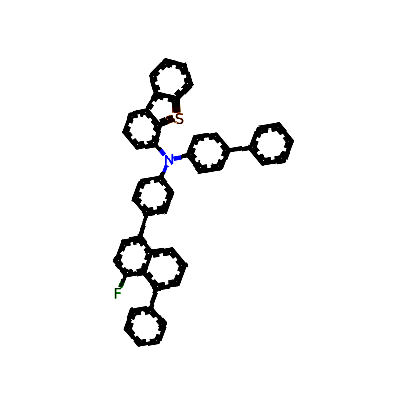 Fc1ccc(-c2ccc(N(c3ccc(-c4ccccc4)cc3)c3cccc4c3sc3ccccc34)cc2)c2cccc(-c3ccccc3)c12